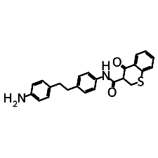 Nc1ccc(CCc2ccc(NC(=O)C3CSc4ccccc4C3=O)cc2)cc1